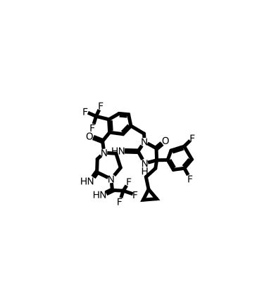 N=C1CN(C(=O)c2cc(CN3C(=N)NC(CCC4CC4)(c4cc(F)cc(F)c4)C3=O)ccc2C(F)(F)F)CCN1C(=N)C(F)(F)F